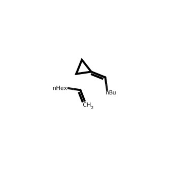 C=CCCCCCC.CCCCC=C1CC1